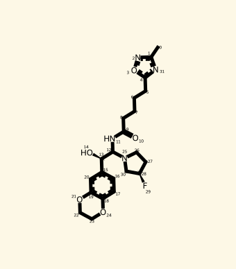 Cc1noc(CCCCC(=O)NC([C@H](O)c2ccc3c(c2)OCCO3)N2CC[C@@H](F)C2)n1